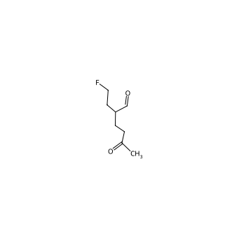 CC(=O)CCC(C=O)CCF